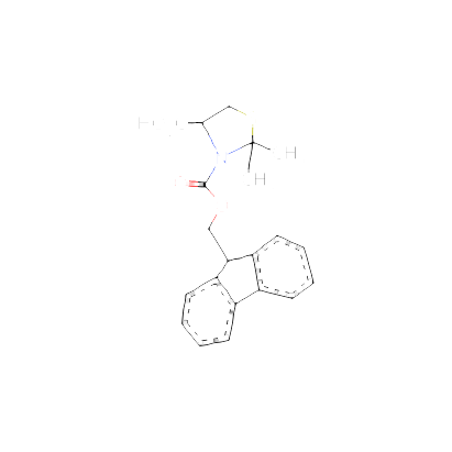 CC1(C)SCC(C(=O)O)N1C(=O)OCC1c2ccccc2-c2ccccc21